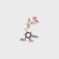 CC(C)(C)c1cc(SCO[PH](=O)O[PH](=O)O)cc(C(C)(C)C)c1O